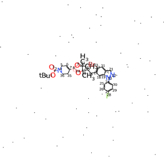 CC(C)(C)OC(=O)N1CC=C(B2OC(C)(C)C(C)(CCc3cc4c(cnn4-c4ccc(F)cc4)cc3Br)O2)CC1